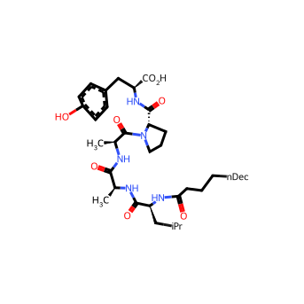 CCCCCCCCCCCCCC(=O)N[C@@H](CC(C)C)C(=O)N[C@@H](C)C(=O)N[C@@H](C)C(=O)N1CCC[C@H]1C(=O)N[C@@H](Cc1ccc(O)cc1)C(=O)O